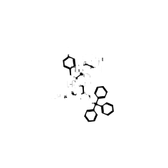 CC(C)(C)OC(=O)N[C@H](CSC(c1ccccc1)(c1ccccc1)c1ccccc1)C(=O)N[C@@H](Cc1ccc(Cl)cc1)C(=O)N[C@@H](C(=O)O)C(C)(C)S